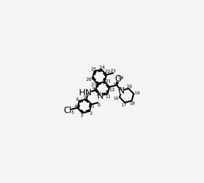 Cc1ccc(Cl)cc1Nc1ncc(C(=O)N2CCCCC2)c2c(C)cccc12